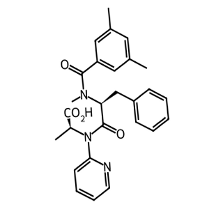 Cc1cc(C)cc(C(=O)N(C)[C@@H](Cc2ccccc2)C(=O)N(c2ccccn2)[C@@H](C)C(=O)O)c1